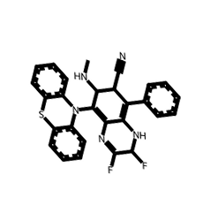 CNC1C(N2c3ccccc3Sc3ccccc32)=C2N=C(F)C(F)NC2=C(c2ccccc2)C1C#N